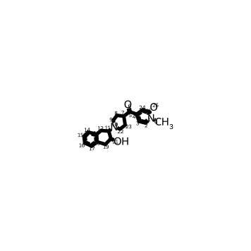 Cn1ccc(C(=O)C2CCN(C3Cc4ccccc4CC3O)CC2)cc1=O